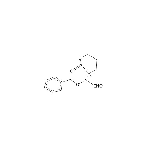 O=CN(OCc1ccccc1)[C@H]1CCCOC1=O